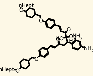 CCCCCCCOC1CCC(COc2ccc(C=CC(=O)CC(c3ccc(N)cc3N)C(O)(O)C(=O)C=Cc3ccc(OCC4CCC(OCCCCCCC)CC4)cc3)cc2)CC1